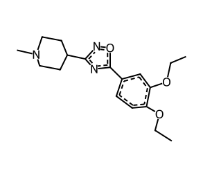 CCOc1ccc(-c2nc(C3CCN(C)CC3)no2)cc1OCC